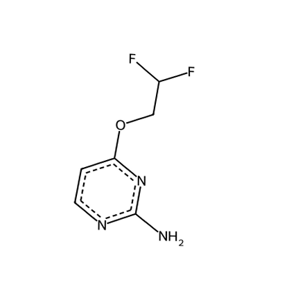 Nc1nccc(OCC(F)F)n1